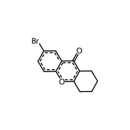 O=c1c2c(oc3ccc(Br)cc13)CCCC2